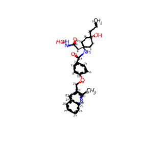 C=CC[C@]1(O)CC[C@](CC(=O)NO)(NC(=O)c2ccc(OCc3cc4ccccc4nc3C)cc2)CC1